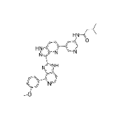 COc1cccc(-c2nccc3[nH]c(-c4n[nH]c5ccc(-c6cncc(NC(=O)CC(C)C)c6)nc45)nc23)c1